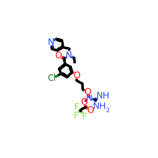 CCN(Cc1ccncc1)C(=O)c1cc(Cl)cc(OCCCON(OC(=O)C(F)(F)F)C(=N)N)c1